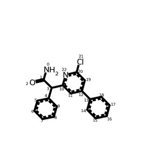 NC(=O)C(c1ccccc1)c1cc(-c2ccccc2)cc(Cl)n1